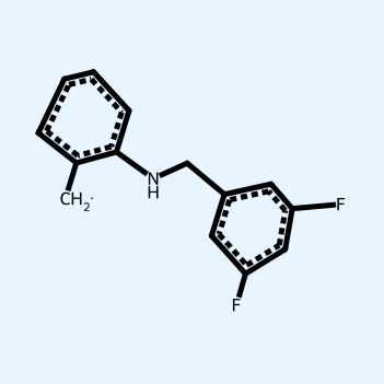 [CH2]c1ccccc1NCc1cc(F)cc(F)c1